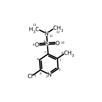 Cc1cnc(Cl)cc1S(=O)(=O)N(C)C